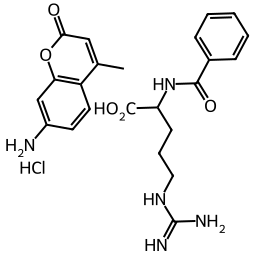 Cc1cc(=O)oc2cc(N)ccc12.Cl.N=C(N)NCCCC(NC(=O)c1ccccc1)C(=O)O